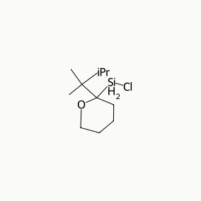 CC(C)C(C)(C)C1([SiH2]Cl)CCCCO1